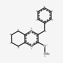 CC(=O)OOc1nc2c(nc1Cc1ccccc1)CCCC2